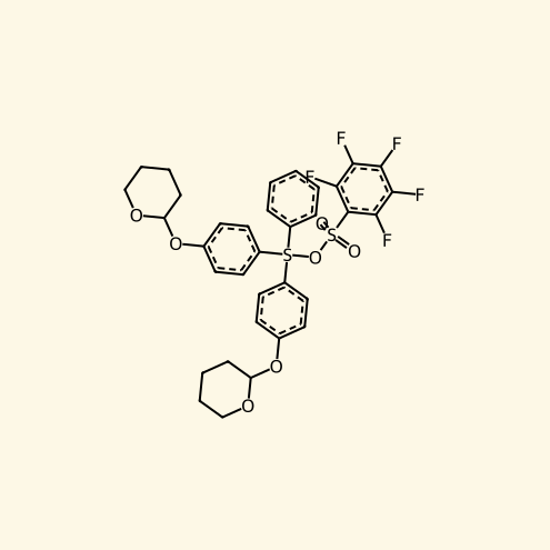 O=S(=O)(OS(c1ccccc1)(c1ccc(OC2CCCCO2)cc1)c1ccc(OC2CCCCO2)cc1)c1c(F)c(F)c(F)c(F)c1F